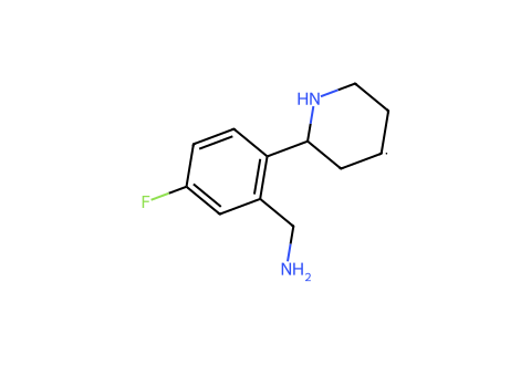 NCc1cc(F)ccc1C1C[CH]CCN1